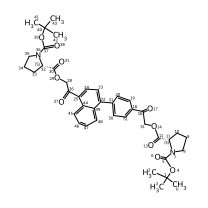 CC(C)(C)OC(=O)N1CCC[C@H]1C(=O)OCC(=O)c1ccc(-c2ccc(C(=O)COC(=O)[C@@H]3CCCN3C(=O)OC(C)(C)C)c3ccccc23)cc1